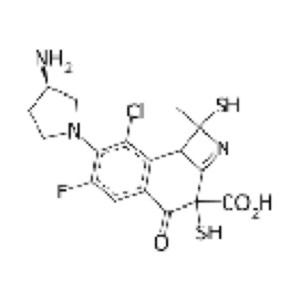 CC1(S)N=C2C1c1c(cc(F)c(N3CC[C@@H](N)C3)c1Cl)C(=O)C2(S)C(=O)O